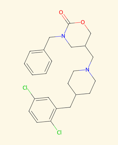 O=C1OCC(CN2CCC(Cc3cc(Cl)ccc3Cl)CC2)CN1Cc1ccccc1